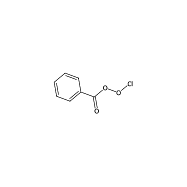 O=C(OOCl)c1ccccc1